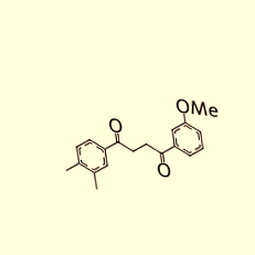 COc1cccc(C(=O)CCC(=O)c2ccc(C)c(C)c2)c1